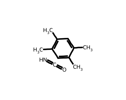 Cc1cc(C)c(C)cc1C.N=C=O